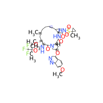 CC[C@@H]1C[C@H](C)CC/C=C\C2C[C@@]2(C(=O)NS(=O)(=O)C2(C)CC2)NC(=O)[C@@H]2C[C@@H](Oc3cnnc4cc(OC)ccc34)CN2C(=O)[C@H]1NC(=O)OC(C)(C)C(F)(F)F